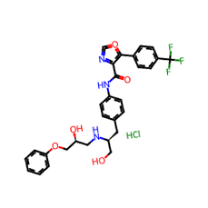 Cl.O=C(Nc1ccc(C[C@@H](CO)NC[C@H](O)COc2ccccc2)cc1)c1ncoc1-c1ccc(C(F)(F)F)cc1